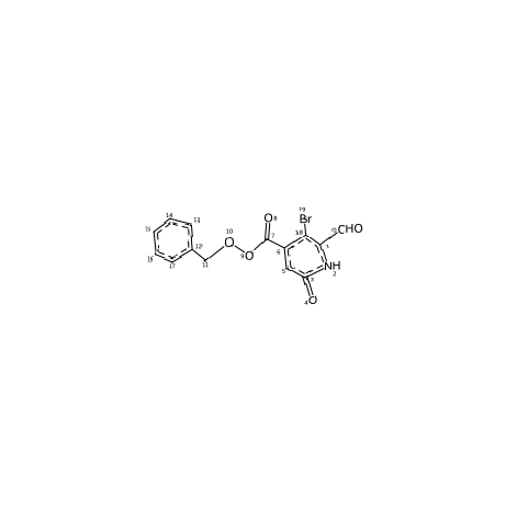 O=Cc1[nH]c(=O)cc(C(=O)OOCc2ccccc2)c1Br